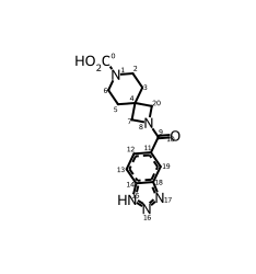 O=C(O)N1CCC2(CC1)CN(C(=O)c1ccc3[nH]nnc3c1)C2